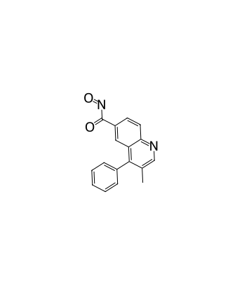 Cc1cnc2ccc(C(=O)N=O)cc2c1-c1ccccc1